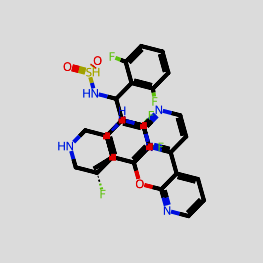 Cc1cc(C(N[SH](=O)=O)c2c(F)cccc2F)c(F)c(F)c1Oc1ncccc1-c1ccnc(N[C@@H]2CNC[C@@H](F)C2)n1